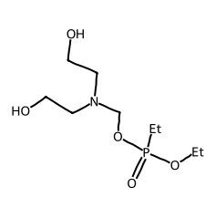 CCOP(=O)(CC)OCN(CCO)CCO